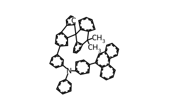 CC1(C)c2ccccc2C2(c3ccccc3-c3ccc(-c4cccc(N(c5ccccc5)c5ccc(-c6cc7ccccc7c7ccccc67)cc5)c4)cc32)c2ccccc21